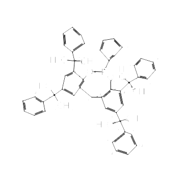 CC(C)(c1ccccc1)c1cc2c(c(C(C)(C)c3ccccc3)c1)OP(c1ccccc1)Oc1c(cc(C(C)(C)c3ccccc3)cc1C(C)(C)c1ccccc1)C2